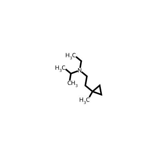 CCN(CCC1(C)CC1)C(C)C